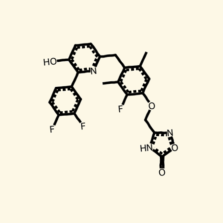 Cc1cc(OCc2noc(=O)[nH]2)c(F)c(C)c1Cc1ccc(O)c(-c2ccc(F)c(F)c2)n1